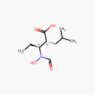 CC[C@@H]([C@@H](CC(C)C)C(=O)O)N(O)C=O